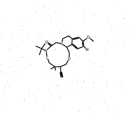 C#CC1COCC2c3cc(Br)c(OC)cc3CCN2CC(=O)N(C(C)(C)C)CCC1(C)C